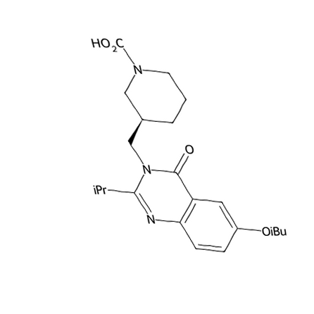 CC(C)COc1ccc2nc(C(C)C)n(C[C@@H]3CCCN(C(=O)O)C3)c(=O)c2c1